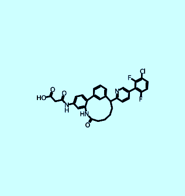 O=C(O)CC(=O)Nc1ccc2c(c1)NC(=O)CCCCC(c1ccc(-c3c(F)ccc(Cl)c3F)cn1)c1cccc-2c1